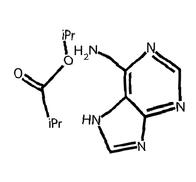 CC(C)OC(=O)C(C)C.Nc1ncnc2nc[nH]c12